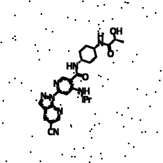 CC(C)Nc1cc(-n2ncc3cc(C#N)cnc32)ncc1C(=O)N[C@H]1CC[C@H](NC(=O)[C@H](C)O)CC1